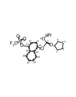 C1CCSC1.CC(C)OC(=O)Oc1ccc(OS(=O)(=O)C(F)(F)F)c2ccccc12